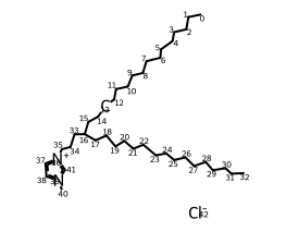 CCCCCCCCCCCCCCCCC(CCCCCCCCCCCCCCCC)CCC[n+]1ccn(C)c1.[Cl-]